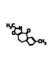 Cc1ccc2c(c1)C(=O)c1nc(C)oc1CC2